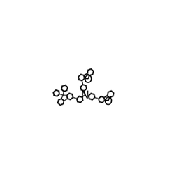 c1ccc(C2(c3ccccc3)c3ccccc3-c3cc(-c4cccc(N(c5ccc(-c6ccc7oc8ccccc8c7c6)cc5)c5ccc(-c6cccc7c6oc6ccccc67)cc5)c4)ccc32)cc1